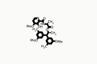 COc1cc(C)cc(C(c2cc(C)cc(OC)c2)[C@H](C)OC(=O)[C@H](C)NC(=O)c2nccc(OC)c2O)c1